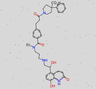 CCN(CCCNCC(O)c1ccc(O)c2[nH]c(=O)ccc12)C(=O)c1ccc(CCC(=O)N2CCC(C(=O)O)(c3ccccc3)CC2)cc1